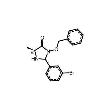 C[C@@H]1NC(c2cccc(Br)c2)N(OCc2ccccc2)C1=O